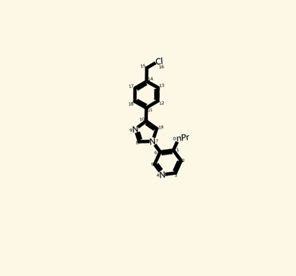 C[CH]Cc1ccncc1-n1cnc(-c2ccc(CCl)cc2)c1